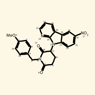 COc1ccc(CN2C(=O)CCC(n3c4ccc([N+](=O)[O-])cc4c4cccnc43)C2=O)cc1